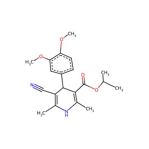 COc1ccc(C2C(C#N)=C(C)NC(C)=C2C(=O)OC(C)C)cc1OC